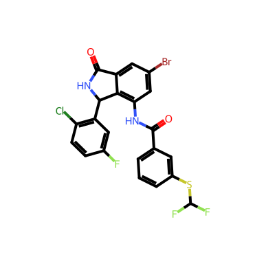 O=C(Nc1cc(Br)cc2c1C(c1cc(F)ccc1Cl)NC2=O)c1cccc(SC(F)F)c1